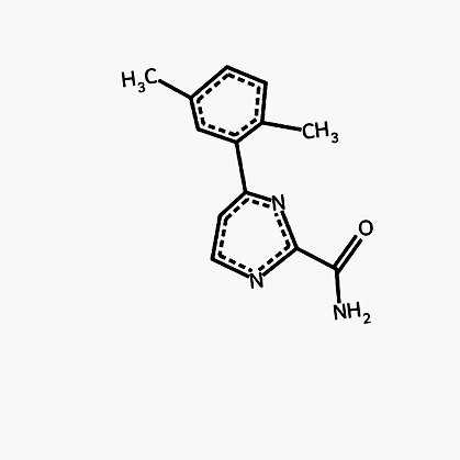 Cc1ccc(C)c(-c2ccnc(C(N)=O)n2)c1